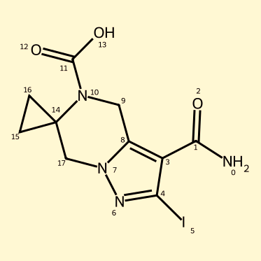 NC(=O)c1c(I)nn2c1CN(C(=O)O)C1(CC1)C2